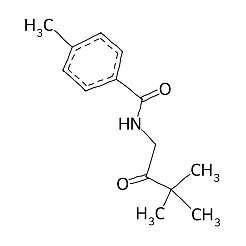 Cc1ccc(C(=O)NCC(=O)C(C)(C)C)cc1